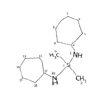 C[Si](C)(NC1CCCCC1)NC1CCCCC1